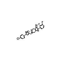 Fc1cccc(-c2nc3c([nH]2)C=NN(Cc2cc(-c4ccc(Cl)cc4)no2)C3)c1F